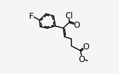 COC(=O)CC/C=C(\C(=O)Cl)c1ccc(F)cc1